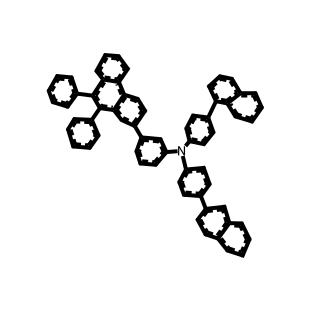 c1ccc(-c2c(-c3ccccc3)c3cc(-c4cccc(N(c5ccc(-c6ccc7ccccc7c6)cc5)c5ccc(-c6cccc7ccccc67)cc5)c4)ccc3c3ccccc23)cc1